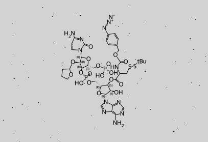 CC(C)(C)SSCC(NC(=O)OCc1ccc(N=[N+]=[N-])cc1)C(=O)O[C@H]1[C@@H](O)[C@H](n2cnc3c(N)ncnc32)O[C@@H]1COP(=O)(O)O[C@H]1[C@@H](OC2CCCO2)[C@H](n2ccc(N)nc2=O)O[C@@H]1COP(=O)(O)O